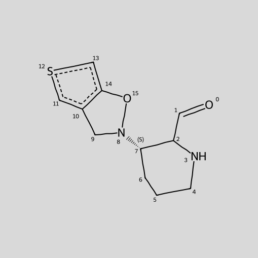 O=CC1NCCC[C@@H]1N1Cc2cscc2O1